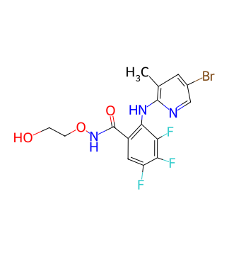 Cc1cc(Br)cnc1Nc1c(C(=O)NOCCO)cc(F)c(F)c1F